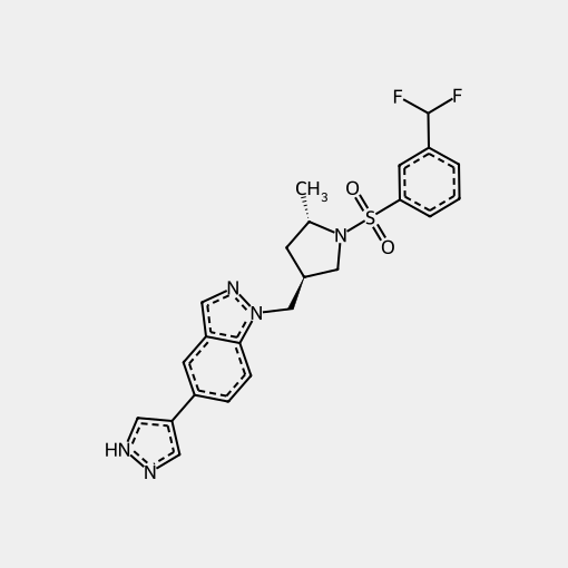 C[C@H]1C[C@H](Cn2ncc3cc(-c4cn[nH]c4)ccc32)CN1S(=O)(=O)c1cccc(C(F)F)c1